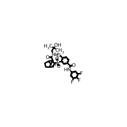 CC(C)(O)CNC(=O)CC1(O)C2CCC1CC(S(=O)(=O)c1cc(C(=O)Nc3cc(F)c(F)c(F)c3)ccc1Cl)C2